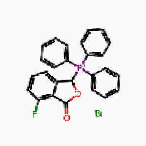 O=C1OC([P+](c2ccccc2)(c2ccccc2)c2ccccc2)c2cccc(F)c21.[Br-]